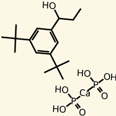 CCC(O)c1cc(C(C)(C)C)cc(C(C)(C)C)c1.O=[P](O)(O)[Ca][P](=O)(O)O